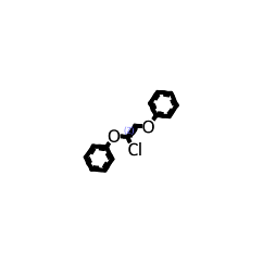 Cl/C(=C\Oc1ccccc1)Oc1ccccc1